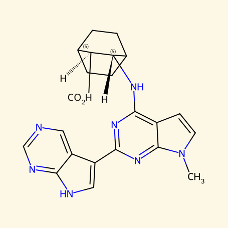 Cn1ccc2c(N[C@H]3C4CCC(CC4)[C@@H]3C(=O)O)nc(-c3c[nH]c4ncncc34)nc21